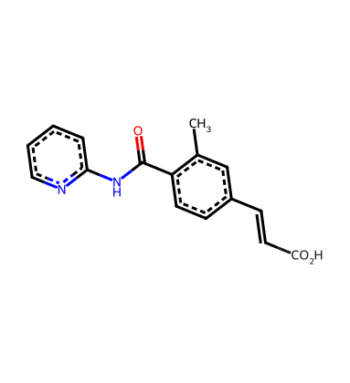 Cc1cc(/C=C/C(=O)O)ccc1C(=O)Nc1ccccn1